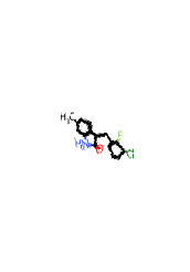 Cc1ccc2c(c1)NC(=O)C2=Cc1cccc(Cl)c1F